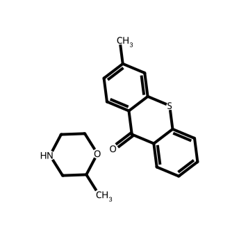 CC1CNCCO1.Cc1ccc2c(=O)c3ccccc3sc2c1